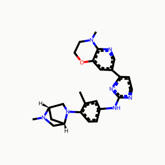 Cc1cc(Nc2nccc(-c3cnc4c(c3)OCCN4C)n2)ccc1N1C[C@@H]2C[C@H]1CN2C